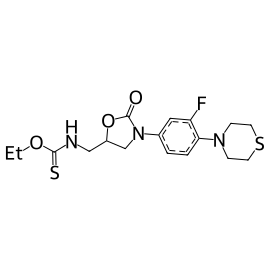 CCOC(=S)NCC1CN(c2ccc(N3CCSCC3)c(F)c2)C(=O)O1